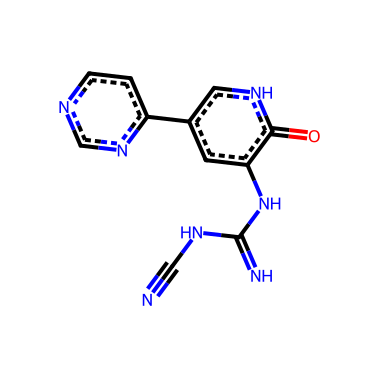 N#CNC(=N)Nc1cc(-c2ccncn2)c[nH]c1=O